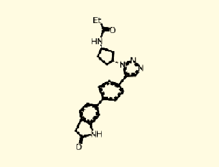 CCC(=O)N[C@H]1CC[C@@H](n2nncc2-c2ccc(-c3ccc4c(c3)NC(=O)C4)cc2)C1